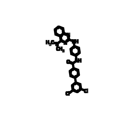 CN(C)c1nc(Nc2ccc(NC(=O)c3ccc(-c4cc(Cl)cc(Cl)c4)cc3)cc2)nc2ccccc12